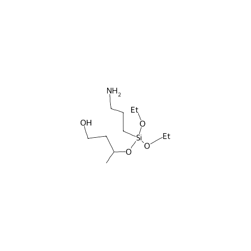 CCO[Si](CCCN)(OCC)OC(C)CCO